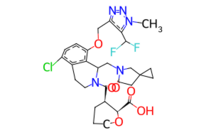 Cn1nnc(COc2ccc(Cl)c3c2C(CN2CC4(CC4)CC2=O)N(C(=O)[C@@H]2CCCO[C@@H]2C(=O)O)CC3)c1C(F)F